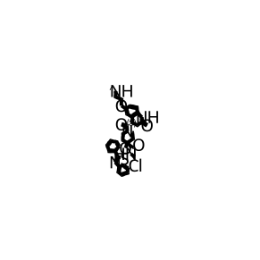 CNCCOc1ccc2c(c1)[C@@H](C(=O)N1CCC(Oc3ccccc3-c3nc4cccc(Cl)c4s3)(C(=O)NC)CC1)CC(=O)N2